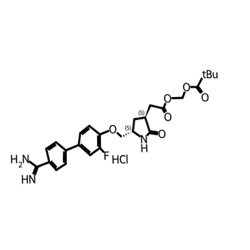 CC(C)(C)C(=O)OCOC(=O)C[C@@H]1C[C@@H](COc2ccc(-c3ccc(C(=N)N)cc3)cc2F)NC1=O.Cl